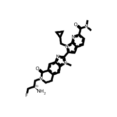 CN(C)C(=O)c1ccc2cc(-c3nc4cc5c(cc4n3C)CCN(C[C@H](N)CF)C5=O)n(CC3CC3)c2n1